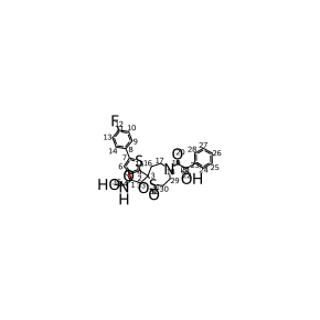 O=C(CC1(c2ccc(-c3ccc(F)cc3)s2)CCN(C(=O)[C@@H](O)c2ccccc2)CCS1(=O)=O)NO